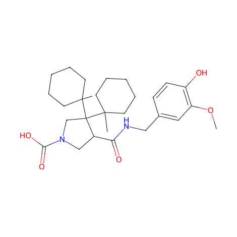 COc1cc(CNC(=O)C2CN(C(=O)O)CC2(C2(C)CCCCC2)C2(C)CCCCC2)ccc1O